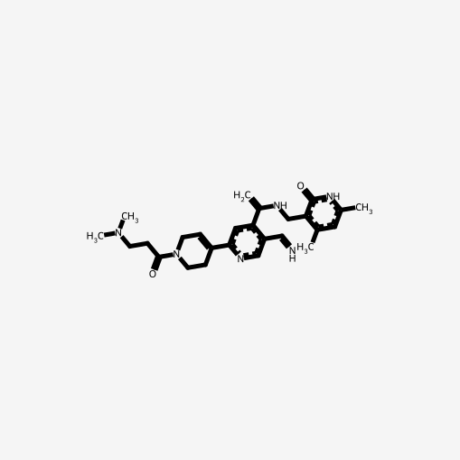 C=C(NCc1c(C)cc(C)[nH]c1=O)c1cc(C2=CCN(C(=O)CCN(C)C)CC2)ncc1C=N